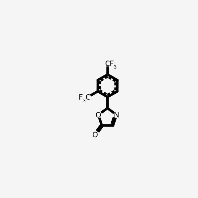 O=C1C=NC(c2ccc(C(F)(F)F)cc2C(F)(F)F)O1